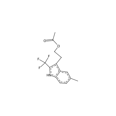 CC(=O)OCCc1c(C(F)(F)F)[nH]c2ccc(C)cc12